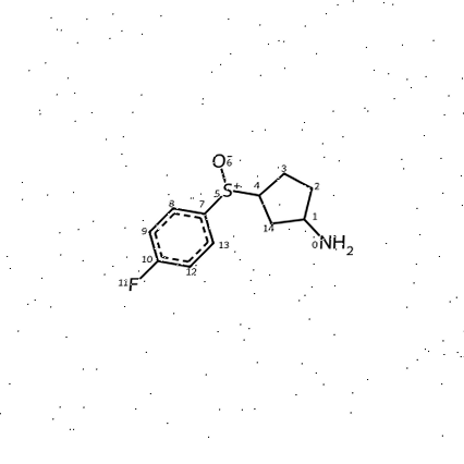 NC1CCC([S+]([O-])c2ccc(F)cc2)C1